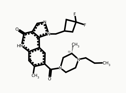 CCCN1CCN(C(=O)c2cc3c(cc2C)[nH]c(=O)c2cnn(CC4CC(F)(F)C4)c23)C[C@@H]1C